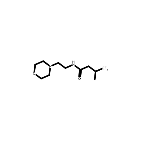 CC(CC(=O)NCCN1CCOCC1)C(F)(F)F